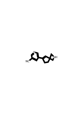 N#Cc1cncc(C2=CC3(CC2)CNC3)c1